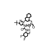 CC(C)(C)c1cc(NC(=O)Nc2cc(F)c(F)cc2F)n(-c2cc(CN(C=O)NI)c3ccccc3c2)n1